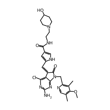 COc1c(C)cnc(CN2C(=O)C(=Cc3cc(C(=O)NCCN4CCC(O)CC4)c[nH]3)c3c(Cl)nc(N)nc32)c1C